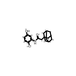 O=C(CC12CC3CC(CC(C3)C1)C2)Nc1cc(O)ccc1Cl